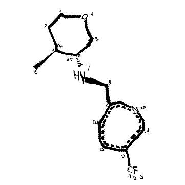 C[C@H]1CCOC[C@@H]1NCc1ccc(C(F)(F)F)cn1